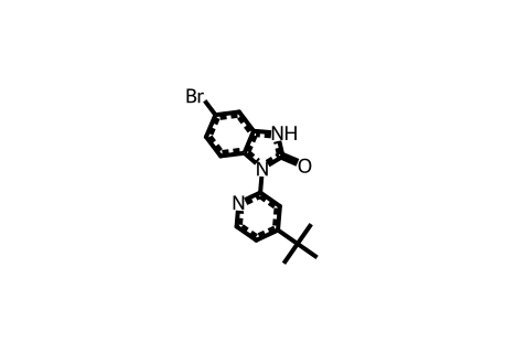 CC(C)(C)c1ccnc(-n2c(=O)[nH]c3cc(Br)ccc32)c1